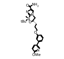 COc1ccc(-c2cccc(OCCC[C@@H](Cn3cnc(C(N)=O)c3)O[Si](C)(C)C(C)(C)C)c2)cn1